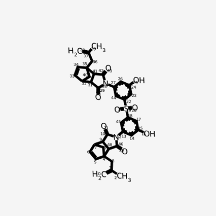 C=C(C)CC12C=CC(C1)C1C(=O)N(c3cc(O)cc(S(=O)(=O)c4cc(O)cc(N5C(=O)C6C7C=CC(CC(=C)C)(C7)C6C5=O)c4)c3)C(=O)C12